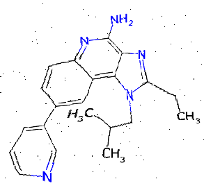 CCc1nc2c(N)nc3ccc(-c4cccnc4)cc3c2n1CC(C)C